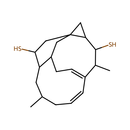 CC1C/C=C\C2=C/CC3CC4(CC(S)C3C1)CC4C(S)C2C